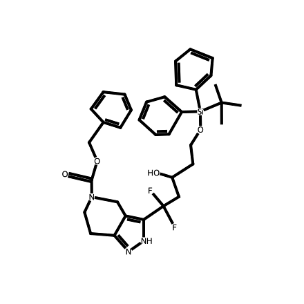 CC(C)(C)[Si](OCCC(O)CC(F)(F)c1[nH]nc2c1CN(C(=O)OCc1ccccc1)CC2)(c1ccccc1)c1ccccc1